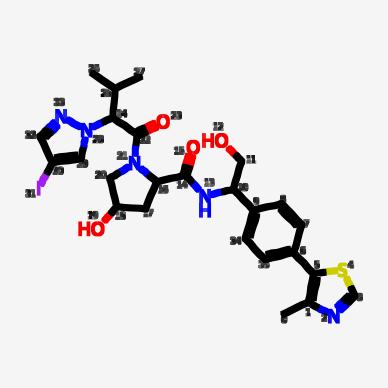 Cc1ncsc1-c1ccc(C(CO)NC(=O)C2CC(O)CN2C(=O)C(C(C)C)n2cc(I)cn2)cc1